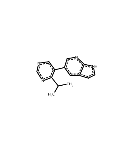 CC(C)c1ncncc1-c1cnc2[nH]ccc2c1